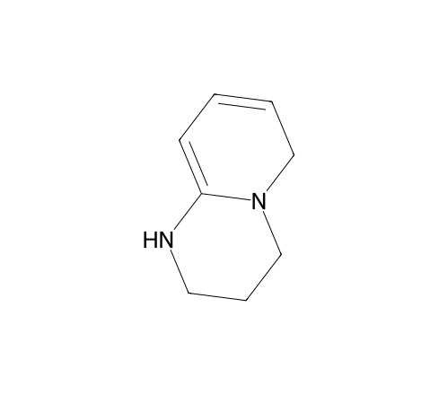 C1=CCN2CCCNC2=C1